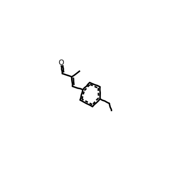 CCc1ccc(/C=C(\C)C=O)cc1